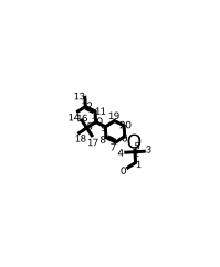 CCC(C)(C)O[C@@H]1C=CC(C(C=C(C)C)C(C)(C)C)CC1